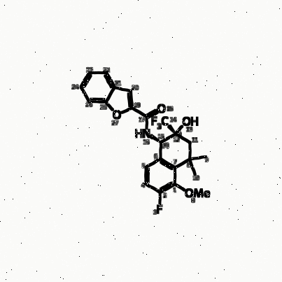 COc1c(F)ccc2c1C(C)(C)C[C@](O)(C(F)(F)F)[C@@H]2NC(=O)c1cc2ccccc2o1